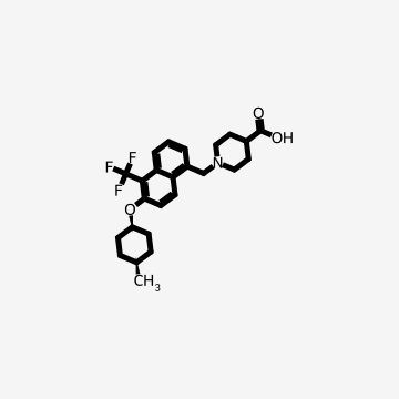 C[C@H]1CC[C@@H](Oc2ccc3c(CN4CCC(C(=O)O)CC4)cccc3c2C(F)(F)F)CC1